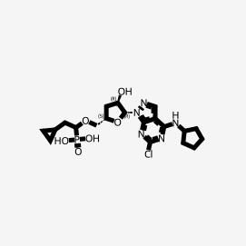 O=P(O)(O)C(CC1CC1)OC[C@@H]1C[C@@H](O)[C@H](n2ncc3c(NC4CCCC4)nc(Cl)nc32)O1